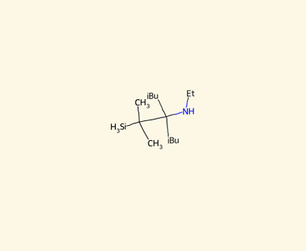 CCNC(C(C)CC)(C(C)CC)C(C)(C)[SiH3]